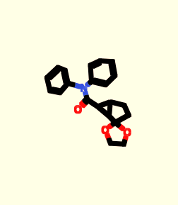 O=C(C1C2CCC3(OCCO3)C21)N(c1ccccc1)c1ccccc1